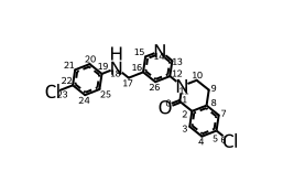 O=C1c2ccc(Cl)cc2CCN1c1cncc(CNc2ccc(Cl)cc2)c1